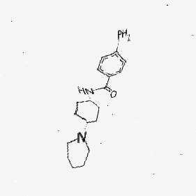 O=C(N[C@H]1CC[C@@H](N2CCCCC2)CC1)c1ccc(P)cc1